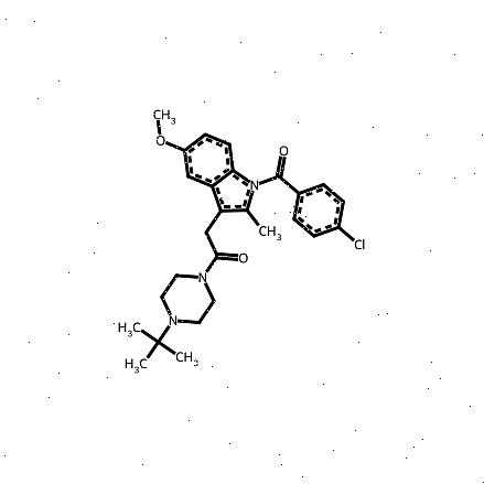 COc1ccc2c(c1)c(CC(=O)N1CCN(C(C)(C)C)CC1)c(C)n2C(=O)c1ccc(Cl)cc1